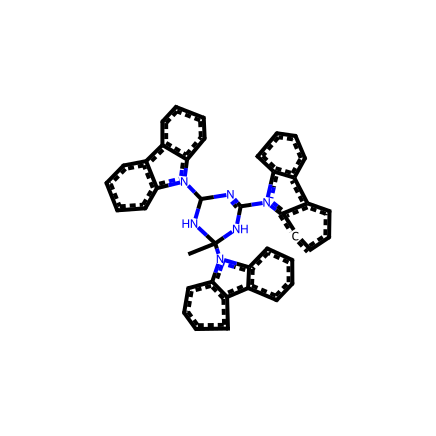 CC1(n2c3ccccc3c3ccccc32)NC(n2c3ccccc3c3ccccc32)=NC(n2c3ccccc3c3ccccc32)N1